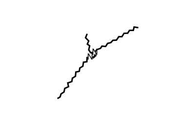 CCCCCCCCCCCCCCCCC[n+]1ccn(CCCCCCCCCCCCCCCC)c1CCCCCC